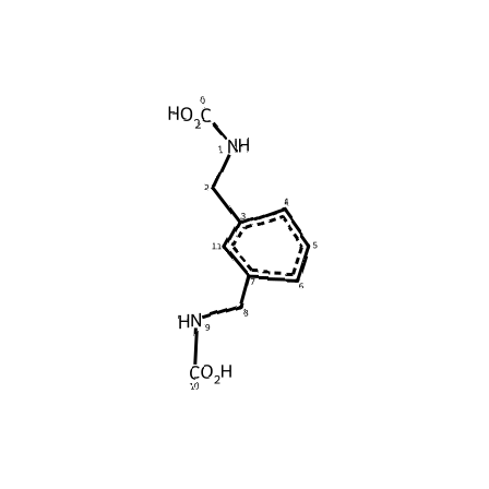 O=C(O)NCc1cccc(CNC(=O)O)c1